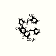 O=C(O)c1cn(Cc2cccnc2)c2cc(N3CCC[C@@H]3COc3ncccc3Cl)c(Cl)cc2c1=O